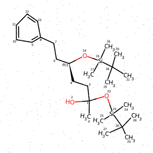 CC(O)(CC[C@@H](CCc1ccccc1)O[Si](C)(C)C(C)(C)C)O[Si](C)(C)C(C)(C)C